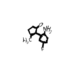 CC1=C(c2cc(F)ccc2N)C(=O)CC1